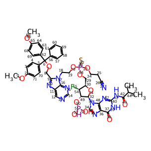 COc1ccc(C(OCc2nc3cncnc3n2CCOP(=S)(OCCC#N)OC[C@H]2O[C@@H](n3cnc4c(=O)[nH]c(NC(=O)C(C)C)nc43)[C@H](O[PH](=O)O)[C@H]2F)(c2ccccc2)c2ccc(OC)cc2)cc1